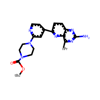 CCCc1nc(N)nc2ccc(-c3ccnc(N4CCN(C(=O)OC(C)(C)C)CC4)c3)nc12